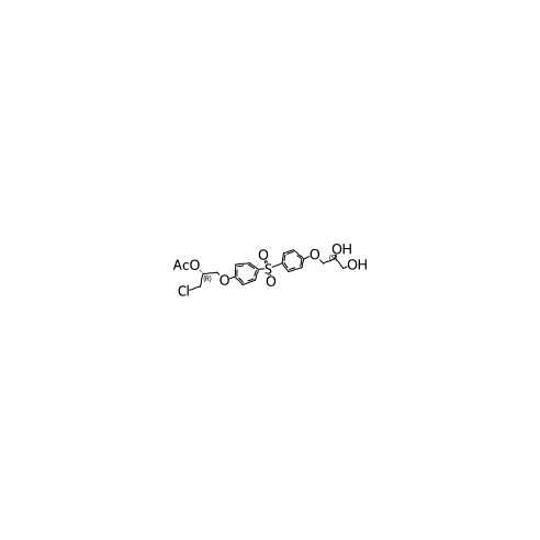 CC(=O)O[C@@H](CCl)COc1ccc(S(=O)(=O)c2ccc(OC[C@@H](O)CO)cc2)cc1